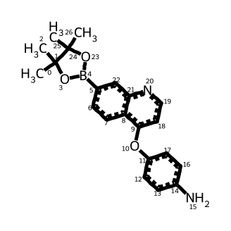 CC1(C)OB(c2ccc3c(Oc4ccc(N)cc4)ccnc3c2)OC1(C)C